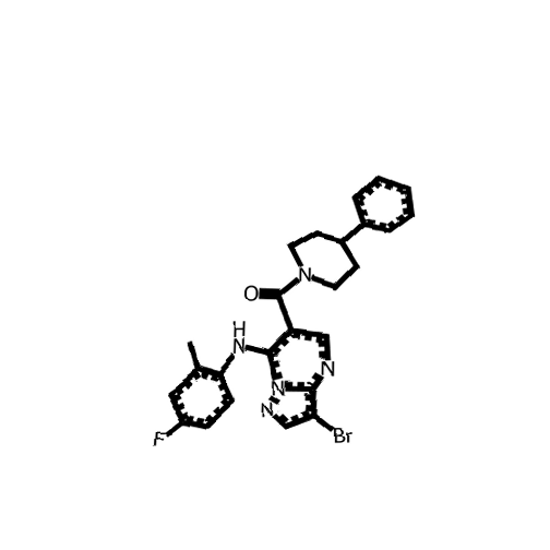 Cc1cc(F)ccc1Nc1c(C(=O)N2CCC(c3ccccc3)CC2)cnc2c(Br)cnn12